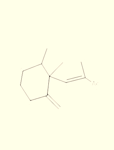 C=C1CCCC(C)C1(C)C=C(C)C(C)=O